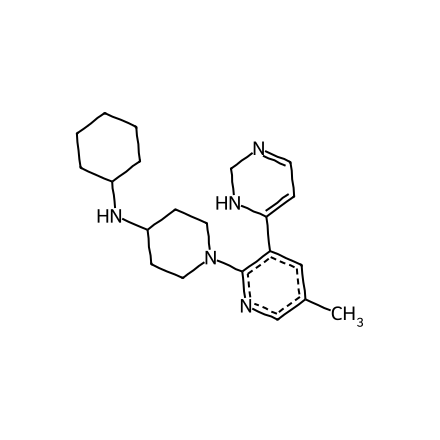 Cc1cnc(N2CCC(NC3CCCCC3)CC2)c(C2=CC=NCN2)c1